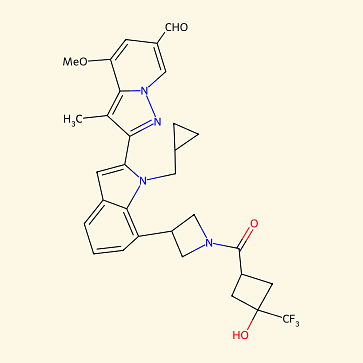 COc1cc(C=O)cn2nc(-c3cc4cccc(C5CN(C(=O)C6CC(O)(C(F)(F)F)C6)C5)c4n3CC3CC3)c(C)c12